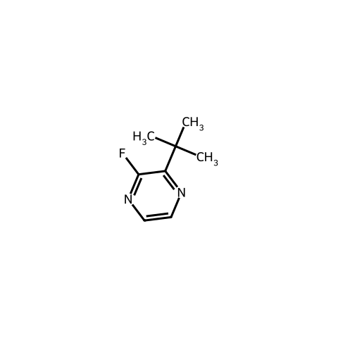 CC(C)(C)c1nccnc1F